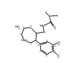 CN(C)C(=O)NCC1OCCNCC1c1ccc(Cl)c(Cl)c1.Cl